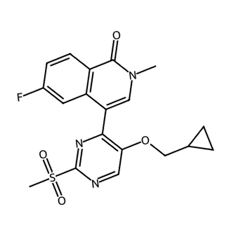 Cn1cc(-c2nc(S(C)(=O)=O)ncc2OCC2CC2)c2cc(F)ccc2c1=O